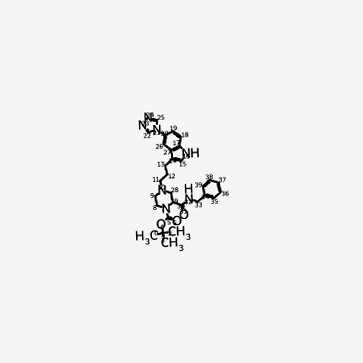 CC(C)(C)OC(=O)N1CCN(CCCc2c[nH]c3ccc(-n4cnnc4)cc23)CC1C(=O)NCc1ccccc1